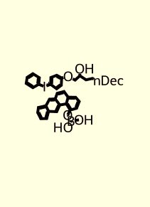 CCCCCCCCCCCCC(O)COc1ccc([I+]c2ccccc2)cc1.OB(O)Oc1cccc2ccc3cc4ccccc4cc3c12